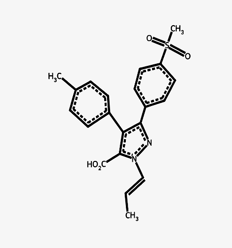 CC=Cn1nc(-c2ccc(S(C)(=O)=O)cc2)c(-c2ccc(C)cc2)c1C(=O)O